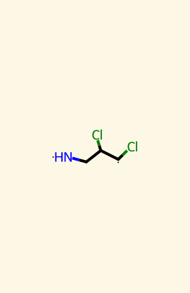 [NH]CC(Cl)[CH]Cl